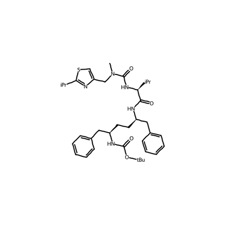 CC(C)c1nc(CN(C)C(=O)N[C@H](C(=O)N[C@H](CC[C@H](Cc2ccccc2)NC(=O)OC(C)(C)C)Cc2ccccc2)C(C)C)cs1